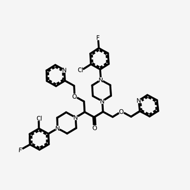 O=C(C(COCc1ccccn1)N1CCN(c2ccc(F)cc2Cl)CC1)C(COCc1ccccn1)N1CCN(c2ccc(F)cc2Cl)CC1